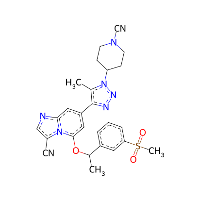 Cc1c(-c2cc(OC(C)c3cccc(S(C)(=O)=O)c3)n3c(C#N)cnc3c2)nnn1C1CCN(C#N)CC1